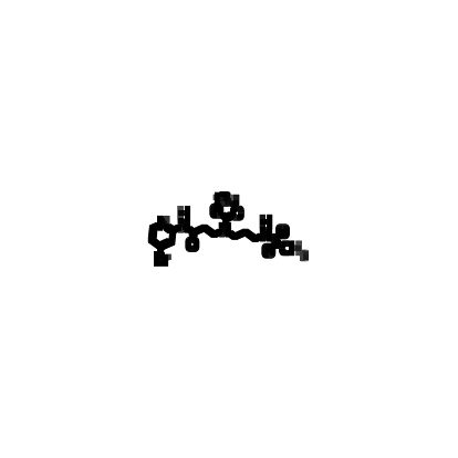 CC(C)(C)OC(=O)N(CCCNS(C)(=O)=O)CCC(=O)Nc1cc(Br)ccn1